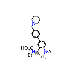 CCN(C(=O)O)[C@H]1C[C@@H](C)N(C(C)=O)c2ccc(-c3ccc(CN4CCCCC4)cc3)cc21